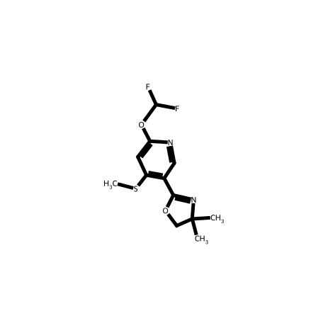 CSc1cc(OC(F)F)ncc1C1=NC(C)(C)CO1